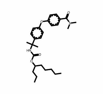 CCCCCC(CCC)OC(=O)NC(C)(C)c1ccc(Oc2ccc(C(=O)N(C)C)cc2)cc1